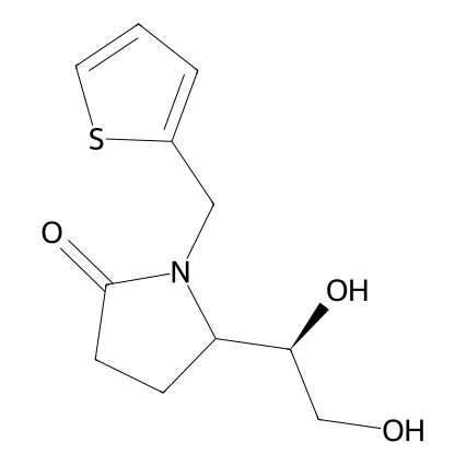 O=C1CCC([C@@H](O)CO)N1Cc1cccs1